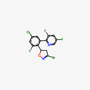 Fc1cnc(-c2cc(Cl)cc(F)c2C2CC(Br)=NO2)c(F)c1